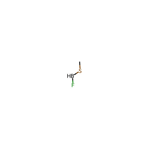 CSBF